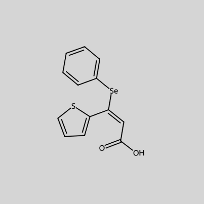 O=C(O)C=C([Se]c1ccccc1)c1cccs1